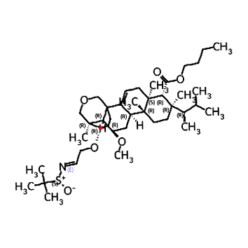 CCCCOC(=O)[C@@H]1[C@@](C)([C@H](C)C(C)C)CC[C@]2(C)[C@H]3CC[C@@H]4C5(COC[C@]4(C)[C@@H](OC/C=N/[S@+]([O-])C(C)(C)C)[C@H](OC)C5)C3=CC[C@@]12C